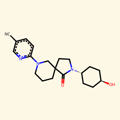 N#Cc1ccc(N2CCCC3(CCN([C@H]4CC[C@H](O)CC4)C3=O)C2)nc1